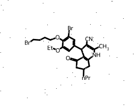 CCCC1CC(=O)C2=C(C1)NC(C)=C(C#N)C2c1cc(Br)c(OCCCCBr)c(OCC)c1